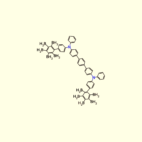 Bc1c(B)c(B)c(-c2ccc(N(c3ccccc3)c3ccc(-c4ccc(-c5ccc(N(c6ccccc6)c6ccc(-c7c(B)c(B)c(B)c(B)c7B)cc6)cc5)cc4)cc3)cc2)c(B)c1B